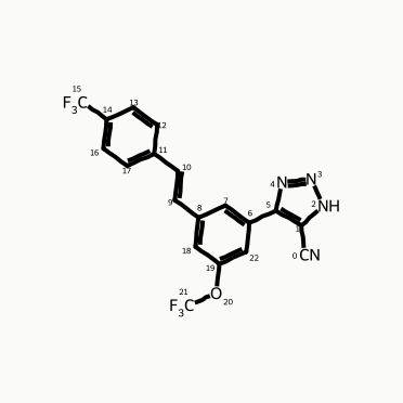 N#Cc1[nH]nnc1-c1cc(/C=C/c2ccc(C(F)(F)F)cc2)cc(OC(F)(F)F)c1